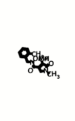 CON(Cc1ccccc1C)C(=O)C1=C(O)C(=O)N(C)C1